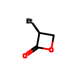 CCC1COC1=O